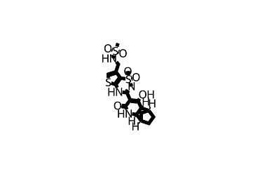 CS(=O)(=O)NCc1csc2c1S(=O)(=O)N=C(C1=C(O)[C@@H]3[C@H]4CC[C@H](C4)[C@@H]3NC1=O)N2